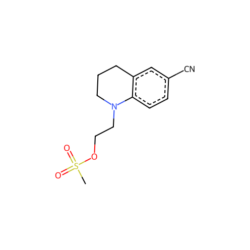 CS(=O)(=O)OCCN1CCCc2cc(C#N)ccc21